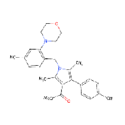 COC(=O)c1c(-c2ccc(C#N)cc2)c(C)n(Cc2ccc(C#N)cc2N2CCOCC2)c1C